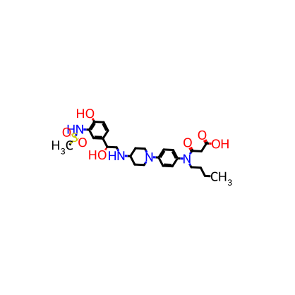 CCCCN(C(=O)CC(=O)O)c1ccc(N2CCC(NC[C@@H](O)c3ccc(O)c(NS(C)(=O)=O)c3)CC2)cc1